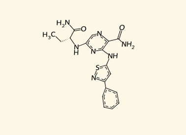 CC[C@@H](Nc1cnc(C(N)=O)c(Nc2cc(-c3ccccc3)ns2)n1)C(N)=O